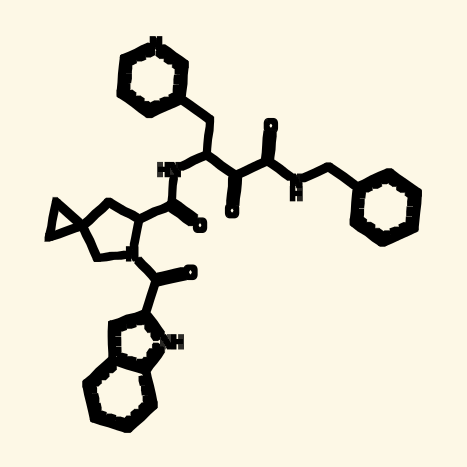 O=C(NCc1ccccc1)C(=O)C(Cc1cccnc1)NC(=O)C1CC2(CC2)CN1C(=O)c1cc2ccccc2[nH]1